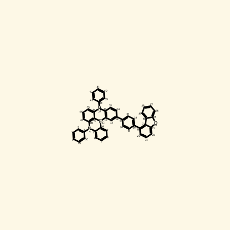 c1ccc(N2c3ccccc3B3c4cc(-c5ccc(-c6cccc7oc8ccccc8c67)cc5)ccc4N(c4ccccc4)c4cccc2c43)cc1